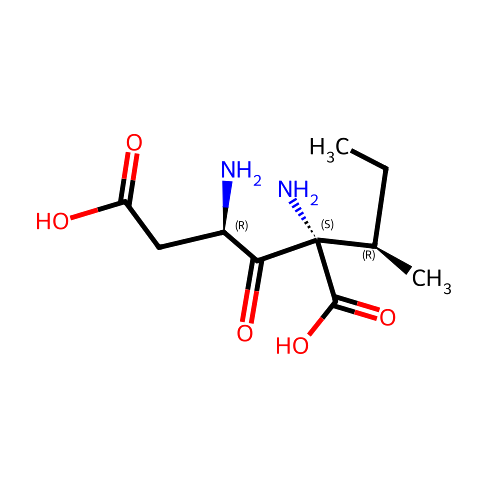 CC[C@@H](C)[C@@](N)(C(=O)O)C(=O)[C@H](N)CC(=O)O